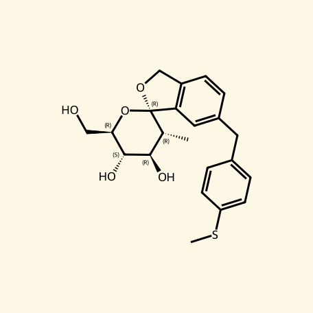 CSc1ccc(Cc2ccc3c(c2)[C@]2(OC3)O[C@H](CO)[C@@H](O)[C@H](O)[C@H]2C)cc1